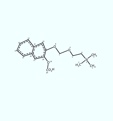 C[Si](C)(C)CCOCOc1cc2ccccc2cc1OC(=O)O